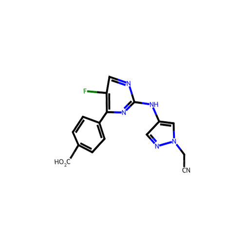 N#CCn1cc(Nc2ncc(F)c(-c3ccc(C(=O)O)cc3)n2)cn1